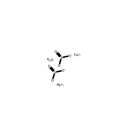 O.O=[Si]([O-])[O-].O=[Si]([O-])[O-].[Ca+2].[Pb+2]